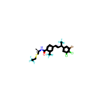 C[C@H](CSCC(F)(F)F)NC(=O)c1ccc(/C=C/C(c2cc(Cl)c(Cl)c(Br)c2)C(F)(F)F)cc1C(F)(F)F